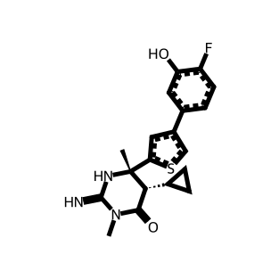 CN1C(=N)N[C@](C)(c2cc(-c3ccc(F)c(O)c3)cs2)[C@H](C2CC2)C1=O